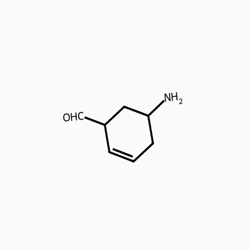 NC1CC=CC(C=O)C1